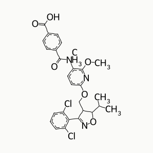 COc1nc(OCC2C(c3c(Cl)cccc3Cl)=NOC2C(C)C)ccc1N(C)C(=O)c1ccc(C(=O)O)cc1